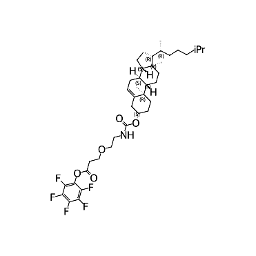 CC(C)CCC[C@@H](C)[C@H]1CC[C@H]2[C@@H]3CC=C4C[C@@H](OC(=O)NCCOCCC(=O)Oc5c(F)c(F)c(F)c(F)c5F)CC[C@]4(C)[C@H]3CC[C@]12C